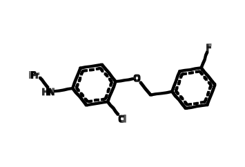 CC(C)Nc1ccc(OCc2cccc(F)c2)c(Cl)c1